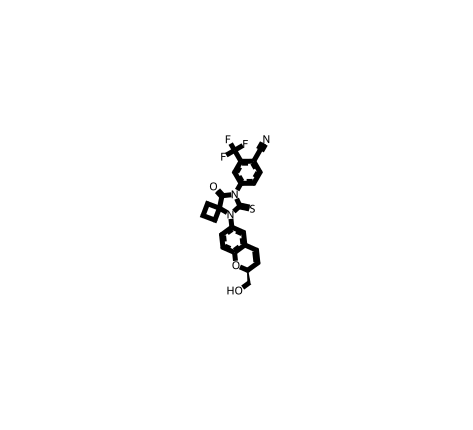 N#Cc1ccc(N2C(=O)C3(CCC3)N(c3ccc4c(c3)C=C[C@@H](CO)O4)C2=S)cc1C(F)(F)F